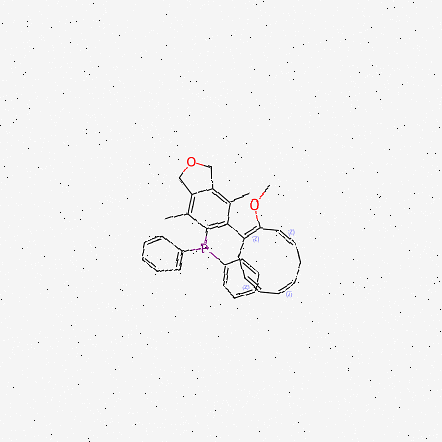 COC1=C(\c2c(C)c3c(c(C)c2P(c2ccccc2)c2ccccc2)COC3)C/C=C\C=C/C/C=C\1